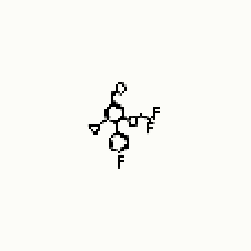 O=Cc1cc(OCC(F)F)c(-c2ccc(F)cc2)c(C2CC2)c1